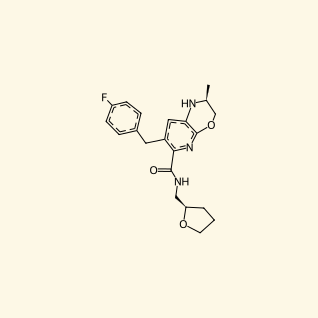 C[C@H]1COc2nc(C(=O)NC[C@H]3CCCO3)c(Cc3ccc(F)cc3)cc2N1